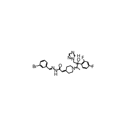 C[C@@H](N1CCC(=CC(=O)NN=Cc2cccc(Br)c2)CC1)[C@](O)(Cn1cncn1)c1ccc(F)cc1F